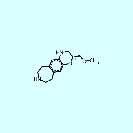 COC[C@@H]1CNc2cc3c(cc2O1)CCNCC3